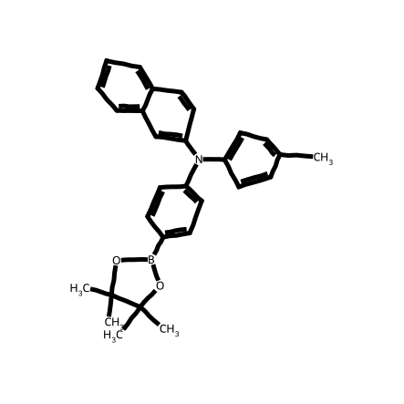 Cc1ccc(N(c2ccc(B3OC(C)(C)C(C)(C)O3)cc2)c2ccc3ccccc3c2)cc1